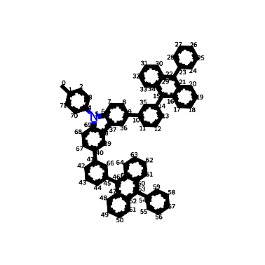 Cc1ccc(-n2c3ccc(-c4cccc(-c5c6ccccc6c(-c6ccccc6)c6ccccc56)c4)cc3c3cc(-c4cccc(-c5c6ccccc6c(-c6ccccc6)c6ccccc56)c4)ccc32)cc1